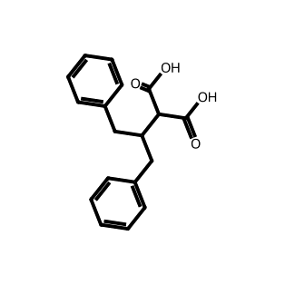 O=C(O)C(C(=O)O)C(Cc1ccccc1)Cc1ccccc1